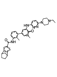 CCN1CCN(c2ccc(Nc3cc(-c4cccc(NC(=O)c5cc6c(s5)C5CCC6C5)c4C)cn(C)c3=O)nn2)CC1